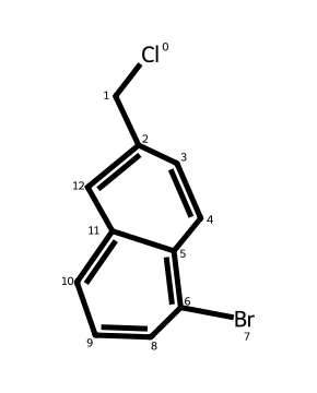 ClCc1ccc2c(Br)cccc2c1